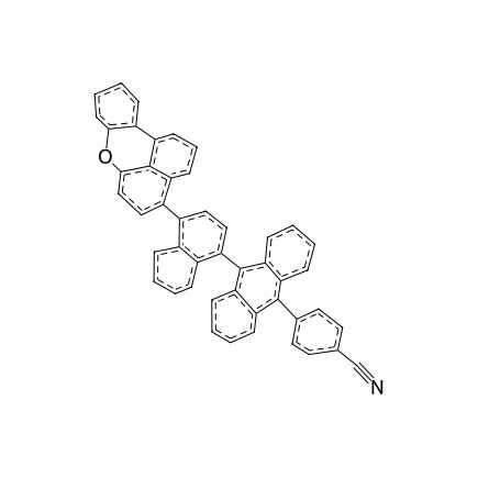 N#Cc1ccc(-c2c3ccccc3c(-c3ccc(-c4ccc5c6c(cccc46)-c4ccccc4O5)c4ccccc34)c3ccccc23)cc1